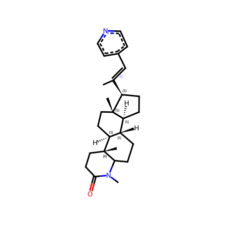 C/C(=C\c1ccncc1)[C@H]1CC[C@H]2[C@@H]3CCC4N(C)C(=O)CC[C@]4(C)[C@H]3CC[C@]12C